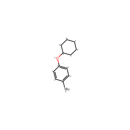 CC(C)(C)c1ccc(O[C]2CCCCC2)cc1